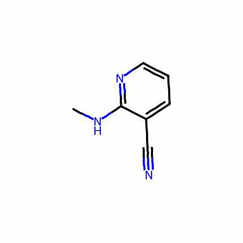 CNc1ncccc1C#N